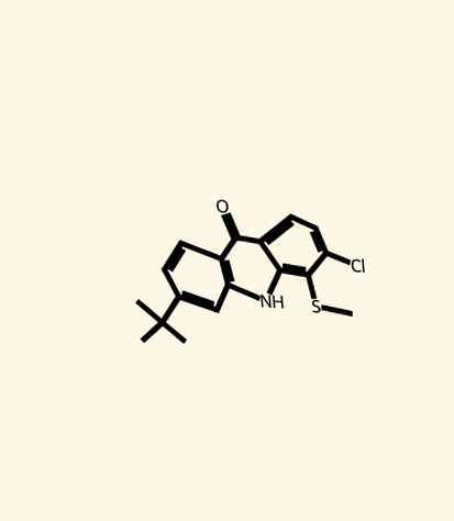 CSc1c(Cl)ccc2c(=O)c3ccc(C(C)(C)C)cc3[nH]c12